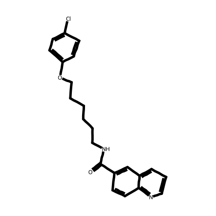 O=C(NCCCCCCOc1ccc(Cl)cc1)c1ccc2ncccc2c1